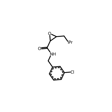 CC(C)CC1OC1C(=O)NCc1cccc(Cl)c1